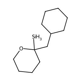 [SiH3]C1(CC2CCCCC2)CCCCO1